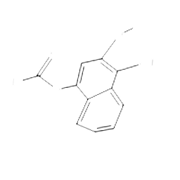 CCOc1cc(OC(=O)CC)c2ccccc2c1O